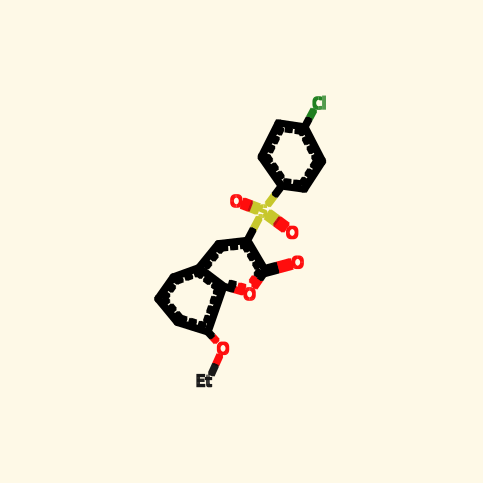 CCOc1cccc2cc(S(=O)(=O)c3ccc(Cl)cc3)c(=O)oc12